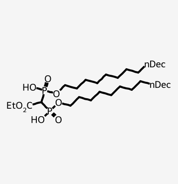 CCCCCCCCCCCCCCCCCCOP(=O)(O)C(C(=O)OCC)P(=O)(O)OCCCCCCCCCCCCCCCCCC